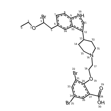 CCOC(Br)Cc1ccc2[nH]cc(C3CCN(CCOc4c(Br)cc(Br)cc4C(=O)O)CC3)c2c1